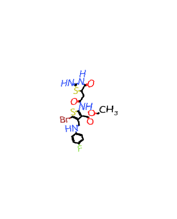 CCOC(=O)c1c(NC(=O)CC2SC(=N)NC2=O)sc(Br)c1CNc1ccc(F)cc1